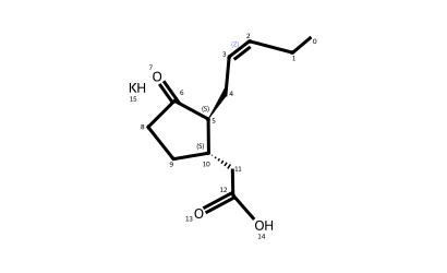 CC/C=C\C[C@@H]1C(=O)CC[C@H]1CC(=O)O.[KH]